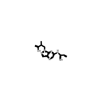 C=CC(=N)Nc1cnc2cnn(CC(C)C(=C)O)c2n1